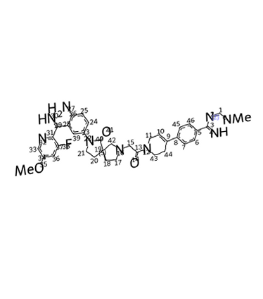 CN/C=N\C(=N)c1ccc(C2=CCN(C(=O)CN3CC[C@]4(CCN(c5ccc(N)c(C(=N)c6ncc(OC)cc6F)c5)C4=O)C3)CC2)cc1